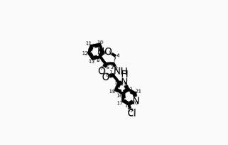 O=C(N[C@@H](CO)C(=O)c1ccccc1)c1cc2cc(Cl)ncc2[nH]1